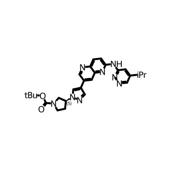 CC(C)c1cnnc(Nc2ccc3ncc(-c4cnn([C@H]5CCN(C(=O)OC(C)(C)C)C5)c4)cc3n2)c1